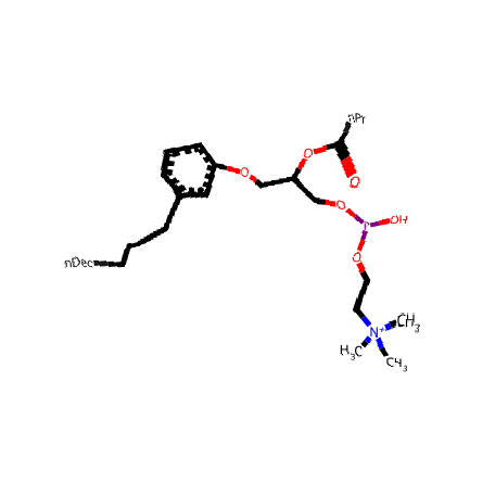 CCCCCCCCCCCCCc1cccc(OCC(COP(O)OCC[N+](C)(C)C)OC(=O)CCC)c1